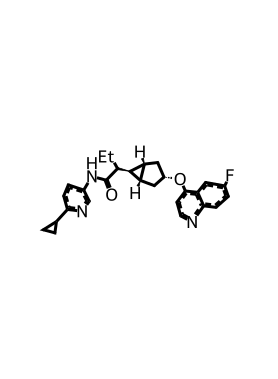 CCC(C(=O)Nc1ccc(C2CC2)nc1)[C@H]1[C@@H]2C[C@H](Oc3ccnc4ccc(F)cc34)C[C@@H]21